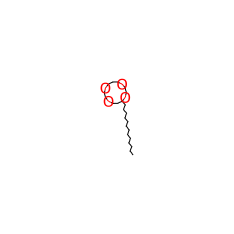 CCCCCCCCCCCCCC1CCOCCOCCCOCCO1